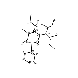 CCC(C)N(C(C)CC)P(OCc1ccccc1)N(C(C)CC)C(C)CC